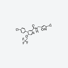 O=C(NCc1cc(C2CC2)no1)c1cc(-c2ccc(Cl)cc2)c(OCC(F)(F)F)cn1